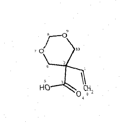 C=CC1(C(=O)O)COCOC1